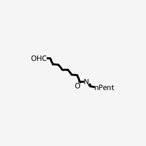 CCCCCC=NC(=O)CCCCCCCC=O